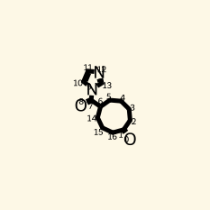 O=C1CCCCC(C(=O)n2ccnc2)CCC1